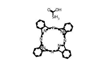 O=C(O)[SiH3].c1ccc2c(c1)-c1nc-2nc2[nH]c(nc3nc(nc4[nH]c(n1)c1ccccc41)-c1ccccc1-3)c1ccccc21